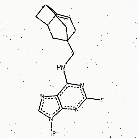 CC(C)n1cnc2c(NCC34CC=C5C(CC5C3)C4)nc(F)nc21